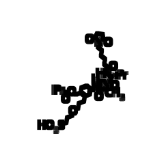 CC(C)C(=O)OCc1ccc(NC(=O)[C@H](C)NC(=O)[C@@H](NC(=O)CCCCCN2C(=O)C=CC2=O)C(C)C)cc1CCCOCCCS(=O)(=O)O